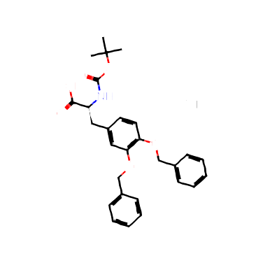 CC(C)(C)OC(=O)N[C@@H](Cc1ccc(OCc2ccccc2)c(OCc2ccccc2)c1)C(=O)O.[CsH]